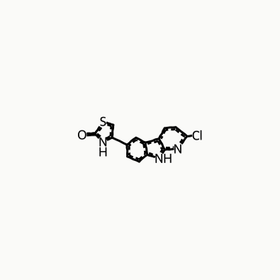 O=c1[nH]c(-c2ccc3[nH]c4nc(Cl)ccc4c3c2)cs1